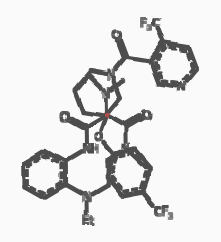 CCN(CCN(C)C(=O)C1(Oc2ccc(C(F)(F)F)cc2)CCCN(C(=O)c2cnccc2C(F)(F)F)C1)c1ccccc1NC(=O)CN(C)C